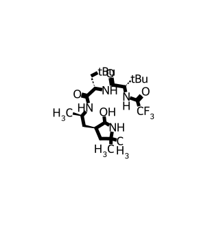 C[C@H](C[C@@H]1CC(C)(C)NC1O)NC(=O)[C@H](CC(C)(C)C)NC(=O)[C@@H](NC(=O)C(F)(F)F)C(C)(C)C